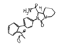 CS(=O)(=O)c1ccccc1-c1ccc(N2C(=O)N3CCC[CH][C@@H]3C2C(N)=O)cc1